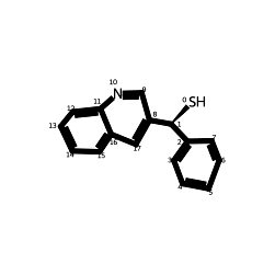 S[C@@H](c1ccccc1)c1cnc2ccccc2c1